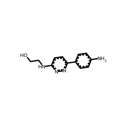 Nc1ccc(-c2ccc(NCCO)nn2)cc1